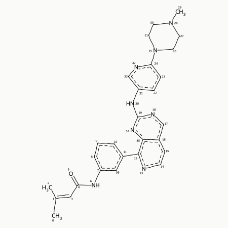 CC(C)=CC(=O)Nc1cccc(-c2nccc3cnc(Nc4ccc(N5CCN(C)CC5)nc4)nc23)c1